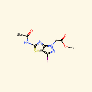 CC(C)(C)OC(=O)Cn1nc(I)c2sc(NC(=O)C(C)(C)C)nc21